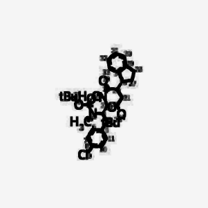 CN(C[C@@H](Cc1ccc(Cl)cc1)N(C)C(=O)OC(C)(C)C)C(=O)C(CC(=O)OC(C)(C)C)[C@@H]1CCc2ccccc21